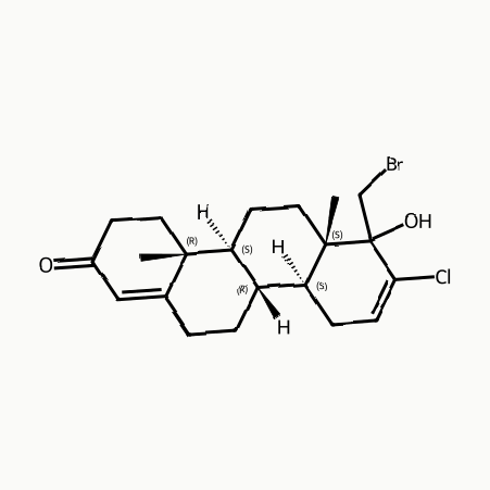 C[C@]12CCC(=O)C=C1CC[C@@H]1[C@@H]2CC[C@@]2(C)[C@H]1CC=C(Cl)C2(O)CBr